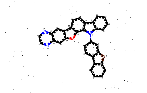 c1ccc2c(c1)sc1cc(-n3c4ccccc4c4ccc5c6cc7nccnc7cc6oc5c43)ccc12